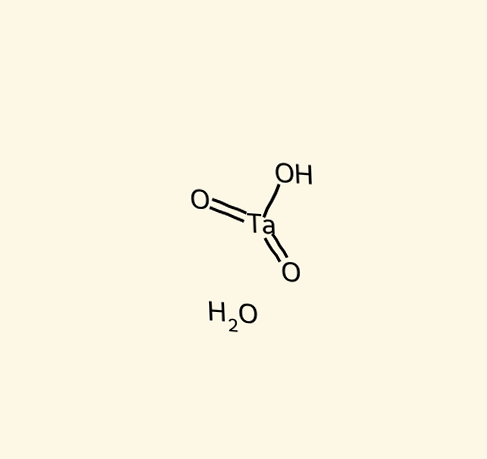 O.[O]=[Ta](=[O])[OH]